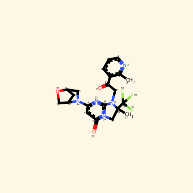 Cc1ncccc1C(=O)CN1c2nc(N3CC4CC3CO4)cc(=O)n2CC1(C)C(F)(F)F